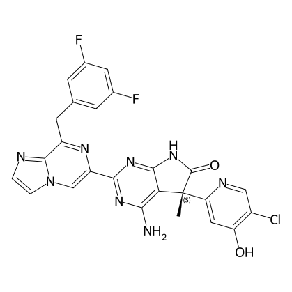 C[C@]1(c2cc(O)c(Cl)cn2)C(=O)Nc2nc(-c3cn4ccnc4c(Cc4cc(F)cc(F)c4)n3)nc(N)c21